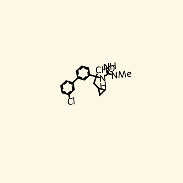 CNC(=N)NC(C=O)(CC1CC1)c1cccc(-c2cccc(Cl)c2)c1